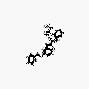 CC(C)(C)OC(=O)Nc1ccccc1NC(=O)c1cc2cc(OCc3ccccn3)ccc2s1